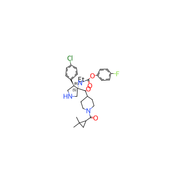 CCN(C(=O)Oc1ccc(F)cc1)[C@]1(C(=O)C2CCN(C(=O)C3CC3(C)C)CC2)CNC[C@H]1c1ccc(Cl)cc1